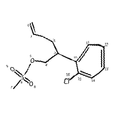 C=CCC(COS(C)(=O)=O)c1ccccc1Cl